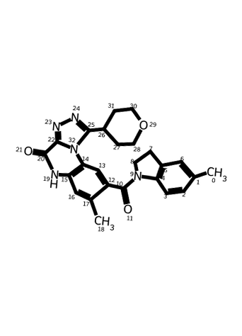 Cc1ccc2c(c1)CCN2C(=O)c1cc2c(cc1C)[nH]c(=O)c1nnc(C3CCOCC3)n12